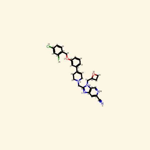 N#Cc1cc2nc(CN3CC=C(c4cccc(OCc5ccc(Cl)cc5F)c4)CC3)n(CC3CCO3)c2cn1